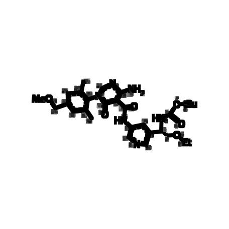 CCOC[C@@H](NC(=O)OC(C)(C)C)c1cncc(NC(=O)c2c(N)ncn(-c3c(C)cc(COC)cc3C)c2=O)c1